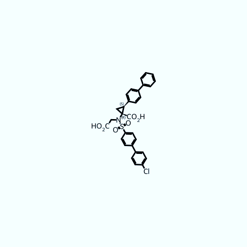 O=C(O)CN([C@]1(C(=O)O)C[C@H]1c1ccc(-c2ccccc2)cc1)S(=O)(=O)c1ccc(-c2ccc(Cl)cc2)cc1